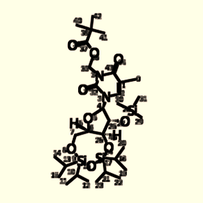 Cc1cn([C@@H]2O[C@H]3CO[Si](C(C)C)(C(C)C)O[Si](C(C)C)(C(C)C)O[C@@H]3[C@H]2O[Si](C)(C)C)c(=O)n(COC(=O)C(C)(C)C)c1=O